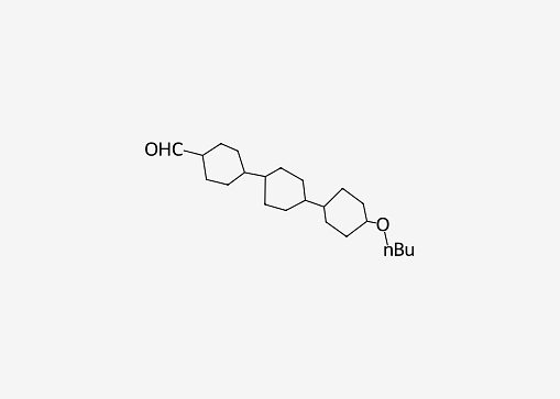 CCCCOC1CCC(C2CCC(C3CCC(C=O)CC3)CC2)CC1